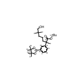 CC(C)(CO)CCCC(C)(C(=O)OC(C)(C)C)c1cccc(B2OC(C)(C)C(C)(C)O2)c1